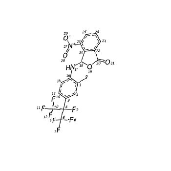 Cc1cc(C(F)(C(F)(F)F)C(F)(F)F)ccc1NC1OC(=O)c2cccc([N+](=O)[O-])c21